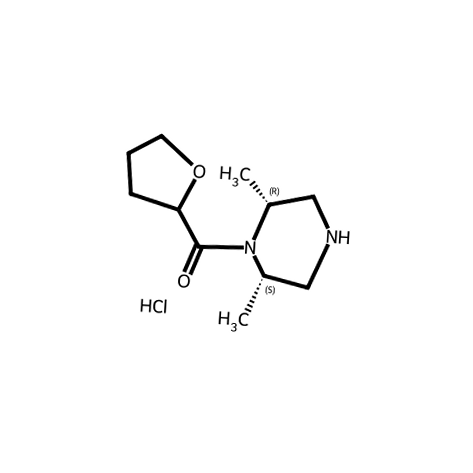 C[C@@H]1CNC[C@H](C)N1C(=O)C1CCCO1.Cl